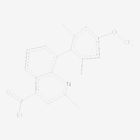 CCC(=O)c1cc(C)nc2c(-c3c(C)cc(OC(F)(F)F)cc3C)cccc12